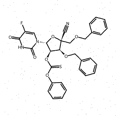 N#C[C@]1(COCc2ccccc2)O[C@@H](n2cc(F)c(=O)[nH]c2=O)[C@H](OC(=S)Oc2ccccc2)[C@@H]1OCc1ccccc1